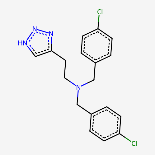 Clc1ccc(CN(CCc2c[nH]nn2)Cc2ccc(Cl)cc2)cc1